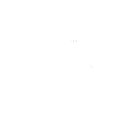 O=S(=O)(Nc1ccc(Cl)cc1)c1c[nH]c2c1ccc1ccccc12